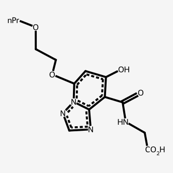 CCCOCCOc1cc(O)c(C(=O)NCC(=O)O)c2ncnn12